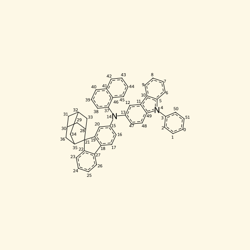 c1ccc(-n2c3ccccc3c3cc(N(c4ccc5c(c4)C4(c6ccccc6-5)C5CC6CC(C5)CC4C6)c4cccc5ccccc45)ccc32)cc1